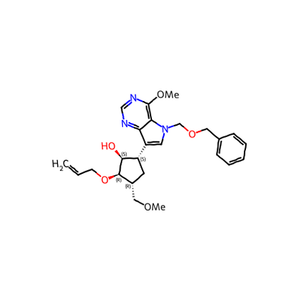 C=CCO[C@@H]1[C@@H](COC)C[C@@H](c2cn(COCc3ccccc3)c3c(OC)ncnc23)[C@@H]1O